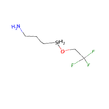 NCCC[SiH2]OCC(F)(F)F